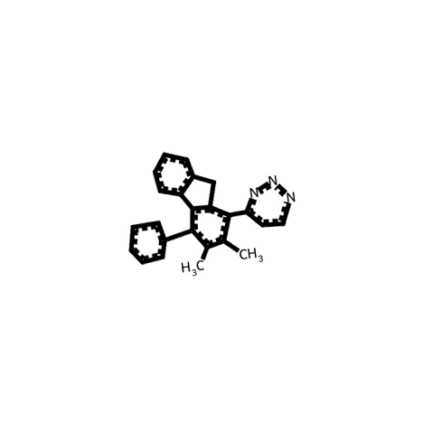 Cc1c(C)c(-c2ccccc2)c2c(c1-c1ccnnn1)Cc1ccccc1-2